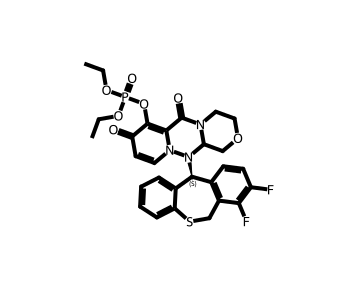 CCOP(=O)(OCC)Oc1c2n(ccc1=O)N([C@@H]1c3ccccc3SCc3c1ccc(F)c3F)C1COCCN1C2=O